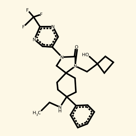 CCNC1(c2ccccc2)CCC2(CC1)CN(c1cnc(C(F)(F)F)nc1)C(=O)N2CC1(O)CCC1